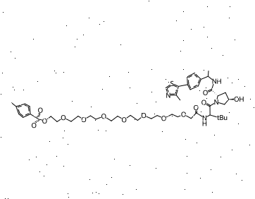 Cc1ccc(S(=O)(=O)OCCOCCOCCOCCOCCOCCOCCOCC(=O)NC(C(=O)N2C[C@H](O)C[C@H]2C(=O)NC(C)c2ccc(-c3scnc3C)cc2)C(C)(C)C)cc1